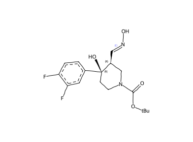 CC(C)(C)OC(=O)N1CC[C@](O)(c2ccc(F)c(F)c2)[C@@H](/C=N/O)C1